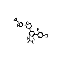 Cc1nc2cc([C@H]3CCO[C@@H](c4cnn(C5CC5)c4)C3)cc(-c3ccc(Cl)cc3F)c2nc1C